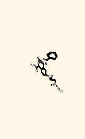 NC(=O)C1c2ccc(OCCNC(=O)O)cc2[C@H]2CN1C(=O)N2OCc1ccccc1